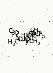 CC1=CC(Nc2nc(CC3CCN(Cc4cccc(Cl)c4F)[C@H](C)C3)c(F)c(C)c2F)NN1C(C)(C)C